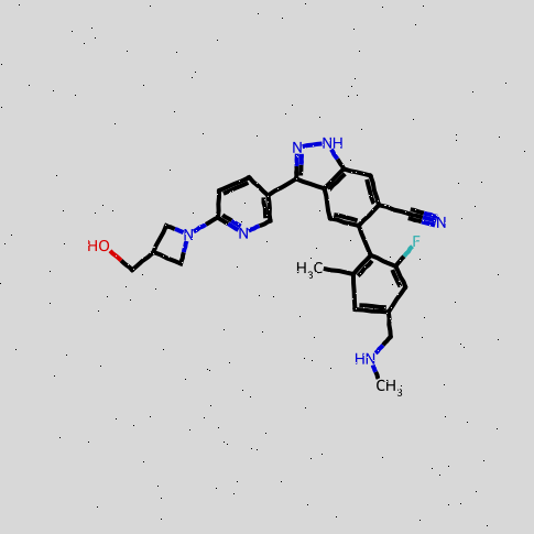 CNCc1cc(C)c(-c2cc3c(-c4ccc(N5CC(CO)C5)nc4)n[nH]c3cc2C#N)c(F)c1